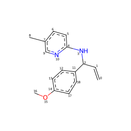 C=CC(Nc1ccc(C)cn1)c1ccc(OC)cc1